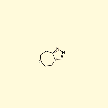 c1nnc2n1CCOCC2